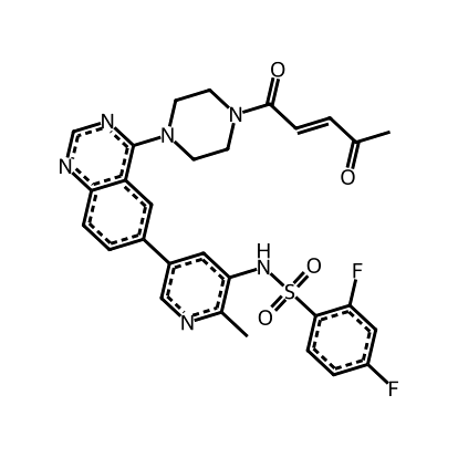 CC(=O)/C=C/C(=O)N1CCN(c2ncnc3ccc(-c4cnc(C)c(NS(=O)(=O)c5ccc(F)cc5F)c4)cc23)CC1